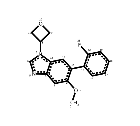 COc1cc2ncn(C3COC3)c2cc1-c1ccccc1F